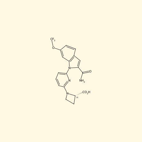 NC(=O)c1cc2ccc(OC(F)(F)F)cc2n1-c1cccc(N2CC[C@H]2C(=O)O)n1